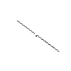 CCCCCC=CCC=CCC=CCC=CCCCC(=O)OCCCCCCCCCCCCCCCC